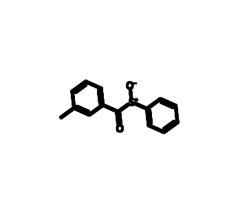 Cc1cccc(C(=O)[S+]([O-])c2ccccc2)c1